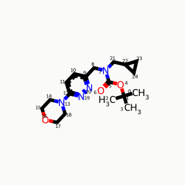 CC(C)(C)OC(=O)N(Cc1ccc(N2CCOCC2)nn1)CC1CC1